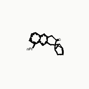 CCCc1cccc2cc3c(cc12)CC1(CC2=CCC1C2)C(=O)C3